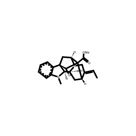 C/C=C1/CN2[C@H]3C[C@@]45c6ccccc6N(C)[C@@H]4[C@]2(O)C[C@@H]1C3(C(=O)OC)C5O